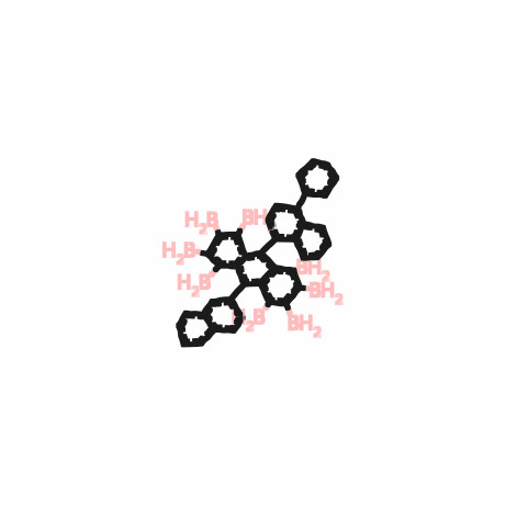 Bc1c(B)c(B)c2c(-c3ccc(-c4ccccc4)c4ccccc34)c3c(B)c(B)c(B)c(B)c3c(-c3ccc4ccccc4c3)c2c1B